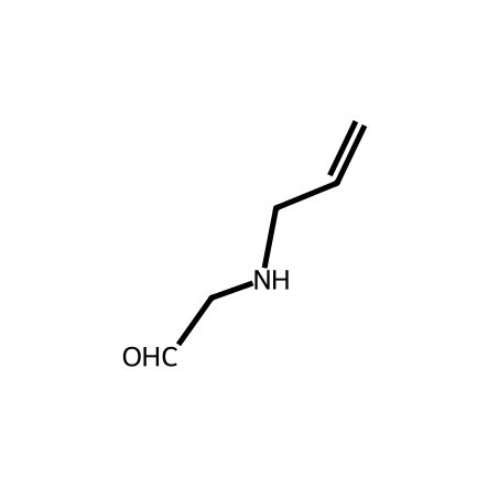 C=CCNCC=O